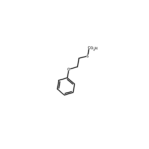 O=C(O)SCCOc1ccccc1